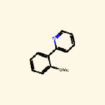 COc1ccccc1-c1ccccn1